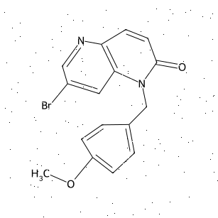 COc1ccc(Cn2c(=O)ccc3ncc(Br)cc32)cc1